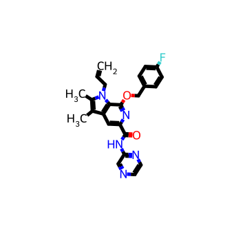 C=CCn1c(C)c(C)c2cc(C(=O)Nc3cnccn3)nc(OCc3ccc(F)cc3)c21